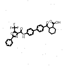 O=C(Nc1ccc(-c2ccc(C(=O)C3CCCCC3C(=O)O)cc2)cc1)c1nc(-c2ccccc2)oc1C(F)(F)F